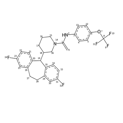 C=C(Nc1ccc(OC(F)(F)F)cc1)N1CCCC(C2c3ccc(F)cc3CCc3cc(F)ccc32)C1